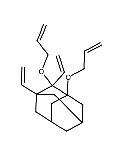 C=CCOC12CC3CC(CC(C=C)(C3)C1(C=C)OCC=C)C2